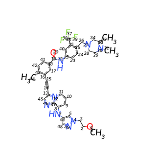 COCCn1cc(Nc2cccn3c(C#Cc4cc(C(=O)Nc5ccc(CN6CCN(C)[C@H](C)C6)c(C(F)(F)F)c5)ccc4C)cnc23)cn1